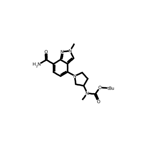 CN(C(=O)OC(C)(C)C)C1CCN(c2ccc(C(N)=O)c3nn(C)cc23)C1